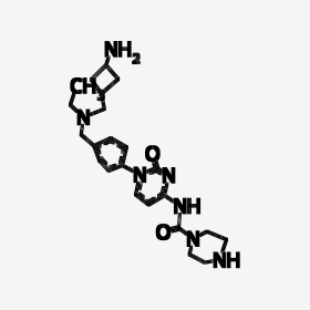 CCN(Cc1ccc(-n2ccc(NC(=O)N3CCNCC3)nc2=O)cc1)CC1CC(N)C1